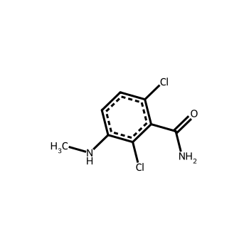 CNc1ccc(Cl)c(C(N)=O)c1Cl